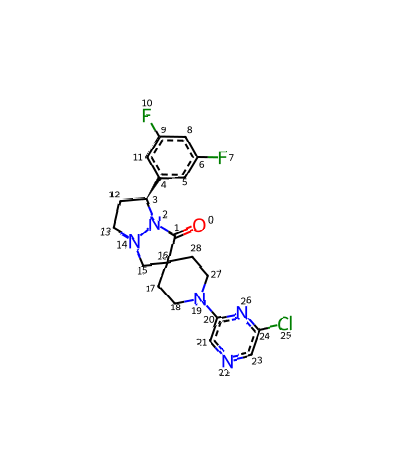 O=C1N2[C@H](c3cc(F)cc(F)c3)CCN2CC12CCN(c1cncc(Cl)n1)CC2